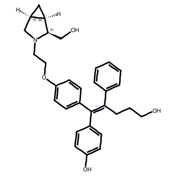 OCCC/C(=C(\c1ccc(O)cc1)c1ccc(OCCN2C[C@H]3C[C@H]3[C@H]2CO)cc1)c1ccccc1